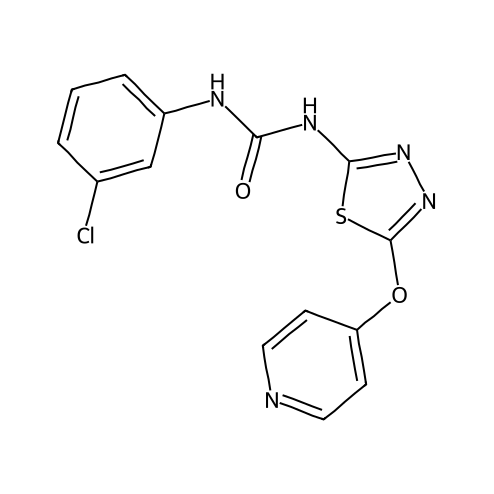 O=C(Nc1cccc(Cl)c1)Nc1nnc(Oc2ccncc2)s1